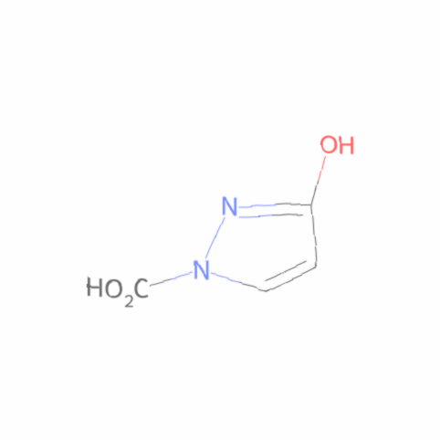 O=C(O)n1ccc(O)n1